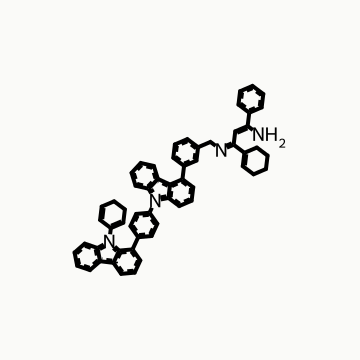 N/C(=C\C(=N/Cc1cccc(-c2cccc3c2c2ccccc2n3-c2ccc(-c3cccc4c5ccccc5n(C5=CCCC=C5)c34)cc2)c1)C1=CCCCC1)c1ccccc1